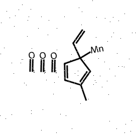 C=C[C]1([Mn])C=CC(C)=C1.[C]=O.[C]=O.[C]=O